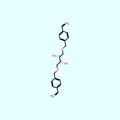 C=Cc1ccc(COC[C@@H](O)[C@H](O)COCc2ccc(C=C)cc2)cc1